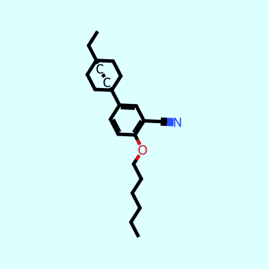 CCCCCCOc1ccc(C23CCC(CC)(CC2)CC3)cc1C#N